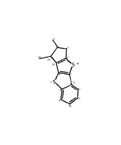 CC1Cc2sc3c(sc4ccccc43)c2C1C